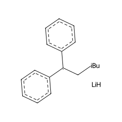 CCC(C)C[C](c1ccccc1)c1ccccc1.[LiH]